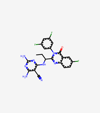 CCC(Nc1nc(N)nc(N)c1C#N)c1nc2ccc(F)cc2c(=O)n1-c1cc(F)cc(F)c1